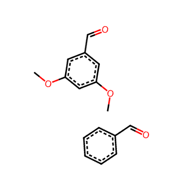 COc1cc(C=O)cc(OC)c1.O=Cc1ccccc1